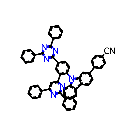 N#Cc1ccc(-c2ccc3c4ccccc4n(-c4ccc(-c5nc(-c6ccccc6)nc(-c6ccccc6)n5)cc4-c4cc(-c5ccccc5)nc(-c5ccccc5)n4)c3c2)cc1